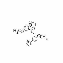 COc1ccc(OC)c(C(=O)/C=C/c2cc(-c3cccs3)ccc2OC)c1